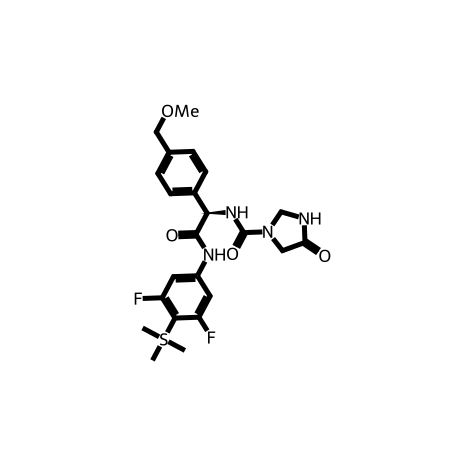 COCc1ccc([C@@H](NC(=O)N2CNC(=O)C2)C(=O)Nc2cc(F)c(S(C)(C)C)c(F)c2)cc1